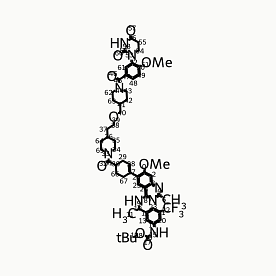 COc1cc2nc(C)nc(NC(C)c3cc(NC(=O)OC(C)(C)C)cc(C(F)(F)F)c3)c2cc1C1=CCC(C(=O)N2CCC(CCOCC3CCN(C(=O)c4ccc(OC)c(N5CCC(=O)NC5=O)c4)CC3)CC2)CC1